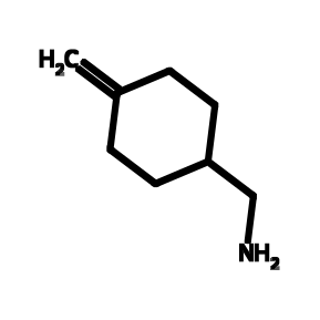 C=C1CCC(CN)CC1